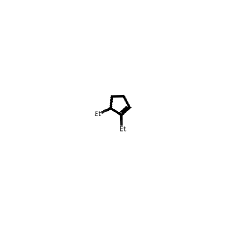 CCC1=[C]CCC1CC